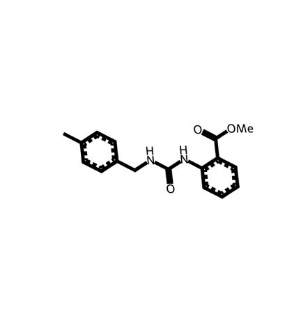 COC(=O)c1ccccc1NC(=O)NCc1ccc(C)cc1